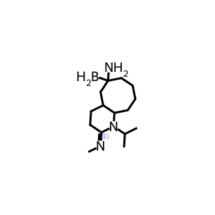 BC1(N)CCCCC2C(CC/C(=N\C)N2C(C)C)C1